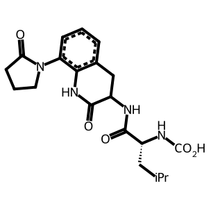 CC(C)C[C@@H](NC(=O)O)C(=O)NC1Cc2cccc(N3CCCC3=O)c2NC1=O